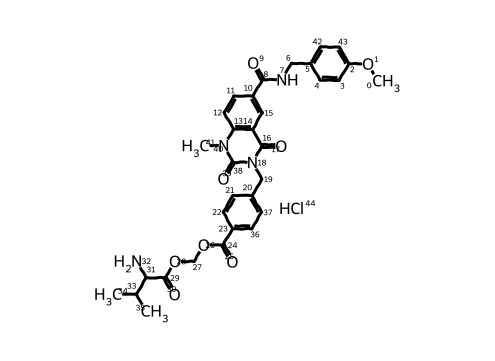 COc1ccc(CNC(=O)c2ccc3c(c2)c(=O)n(Cc2ccc(C(=O)OCOC(=O)C(N)C(C)C)cc2)c(=O)n3C)cc1.Cl